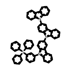 c1ccc(S(c2ccccc2)(c2ccccc2)c2cccc(-n3c4ccccc4c4cc(-n5c6ccccc6c6cc(-n7c8ccccc8c8ccccc87)ccc65)ccc43)c2)cc1